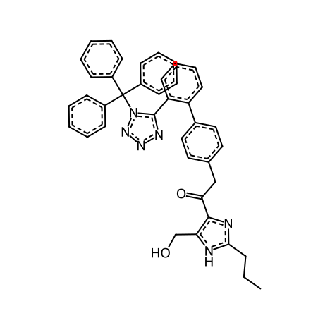 CCCc1nc(C(=O)Cc2ccc(-c3ccccc3-c3nnnn3C(c3ccccc3)(c3ccccc3)c3ccccc3)cc2)c(CO)[nH]1